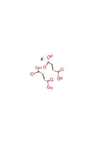 O=C(O)/C=C/C(=O)O.O=C(O)/C=C/C(=O)O.[K]